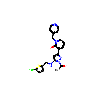 CC(C)(C)C(=O)n1nc(-c2cccn(Cc3ccncc3)c2=O)cc1NCc1ccc(Cl)s1